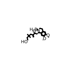 BN1CCc2cc(OC)c(OC)cc2[C@H]1CC(=O)C(=C)CC(C)(C)CCO